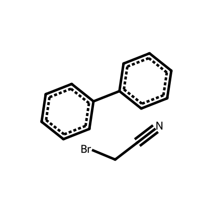 N#CCBr.c1ccc(-c2ccccc2)cc1